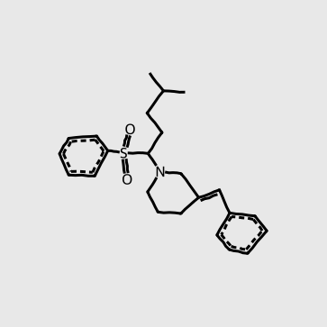 CC(C)CCC(N1CCCC(=Cc2ccccc2)C1)S(=O)(=O)c1ccccc1